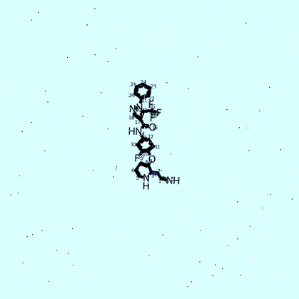 N=C/C=C1\NC=CC=C1Oc1ccc(NC(=O)c2cnn(-c3ccccc3)c2C(F)(F)F)cc1F